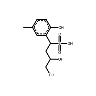 Cc1ccc(O)c(C(CC(O)CO)S(=O)(=O)O)c1